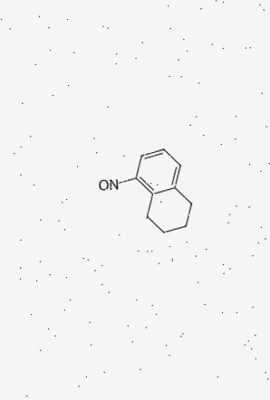 O=Nc1cccc2c1CCCC2